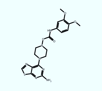 COc1ccc(NC(=O)ON2CCN(c3nc(N)nc4scnc34)CC2)cc1OC